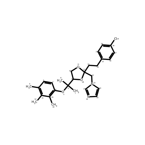 Cc1ccc(OC(C)(C)C2COC(CCc3ccc(Cl)cc3)(Cn3ccnc3)O2)c(C)c1C